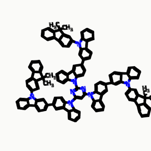 CC1(C)c2ccccc2-c2ccc(-n3c4ccccc4c4ccc(-c5ccc6c(c5)c5ccccc5n6-c5cc(-n6c7ccccc7c7cc(-c8ccc9c%10ccccc%10n(-c%10ccc%11c(c%10)C(C)(C)c%10ccccc%10-%11)c9c8)ccc76)nc(-n6c7ccccc7c7cc(-c8ccc9c%10ccccc%10n(-c%10ccc%11c(c%10)C(C)(C)c%10ccccc%10-%11)c9c8)ccc76)n5)cc43)cc21